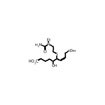 CCCCCCCCCCC/C=C\C(SCCN(CC)C(N)=O)C(O)CCCC(=O)O